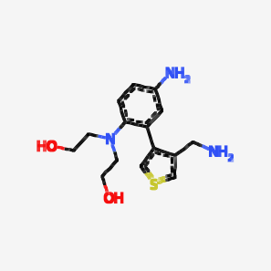 NCc1cscc1-c1cc(N)ccc1N(CCO)CCO